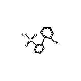 Cc1ccccc1-c1ccsc1S(N)(=O)=O